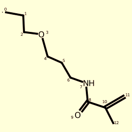 [CH2]CCOCCCNC(=O)C(=C)C